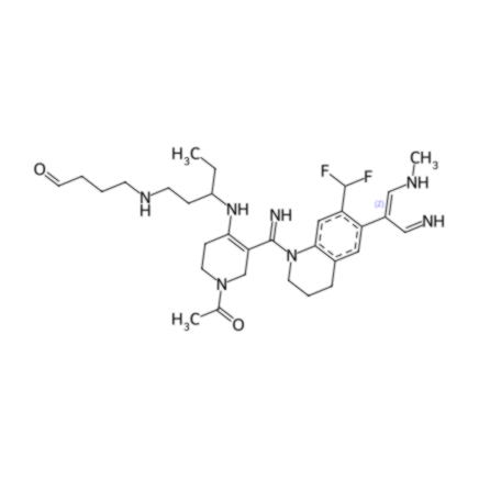 CCC(CCNCCCC=O)NC1=C(C(=N)N2CCCc3cc(/C(C=N)=C/NC)c(C(F)F)cc32)CN(C(C)=O)CC1